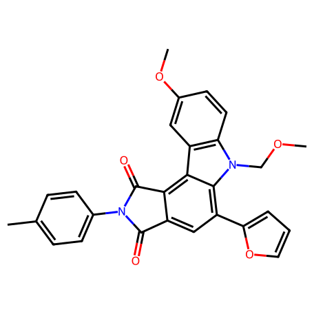 COCn1c2ccc(OC)cc2c2c3c(cc(-c4ccco4)c21)C(=O)N(c1ccc(C)cc1)C3=O